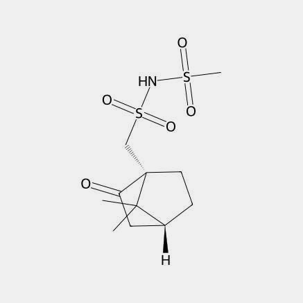 CC1(C)[C@@H]2CC[C@]1(CS(=O)(=O)NS(C)(=O)=O)C(=O)C2